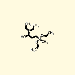 CCO[Si](C)(CCC(O)P(CC)CC)OCC